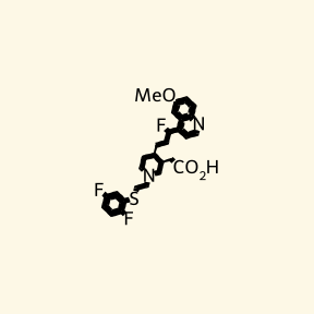 COc1ccc2nccc(C(F)CC[C@@H]3CCN(CCSc4cc(F)ccc4F)C[C@@H]3CC(=O)O)c2c1